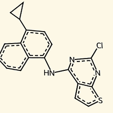 Clc1nc(Nc2ccc(C3CC3)c3ccccc23)c2ccsc2n1